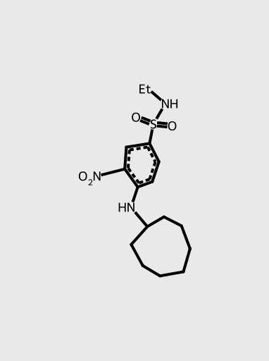 CCNS(=O)(=O)c1ccc(NC2CCCCCCC2)c([N+](=O)[O-])c1